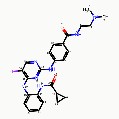 CN(C)CCNC(=O)c1ccc(Nc2ncc(I)c(Nc3ccccc3NC(=O)C3CC3)n2)cc1